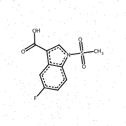 CS(=O)(=O)n1cc(C(=O)O)c2cc(F)ccc21